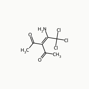 CC(=O)C(C(C)=O)=C(N)C(Cl)(Cl)Cl